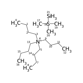 CCCC[N+](CCCC)(CCCC)CCCC.CS(C)(C)[SiH3]